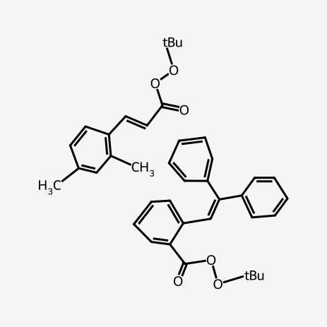 CC(C)(C)OOC(=O)c1ccccc1C=C(c1ccccc1)c1ccccc1.Cc1ccc(C=CC(=O)OOC(C)(C)C)c(C)c1